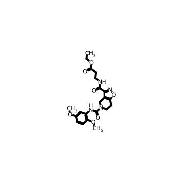 CCOC(=O)CCNC(=O)c1noc2c1CN(C(=O)Nc1cc(OC)ccc1OC)CC2